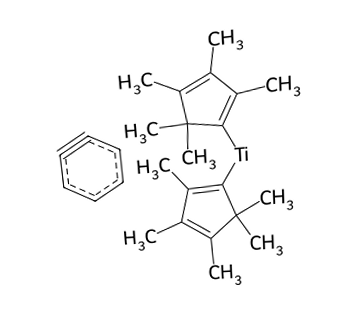 CC1=C(C)C(C)(C)[C]([Ti][C]2=C(C)C(C)=C(C)C2(C)C)=C1C.c1ccccc#1